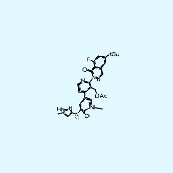 CC(=O)OCc1c(-c2cc(Nc3cc(C)[nH]n3)c(=O)n(C)c2)ccnc1-n1ncc2cc(C(C)(C)C)cc(F)c2c1=O